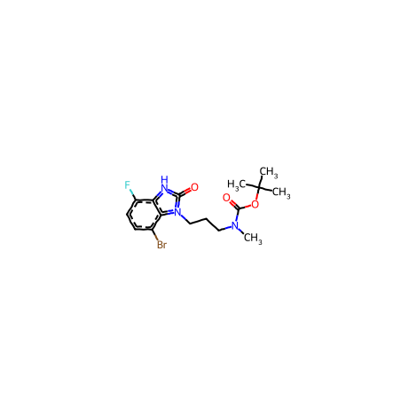 CN(CCCn1c(=O)[nH]c2c(F)ccc(Br)c21)C(=O)OC(C)(C)C